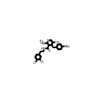 CCNc1ncc(C)c(Cc2ccc(C(C)(C)C)cc2)c1C(=O)NCCc1ccc(Cl)c(Cl)c1